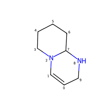 C1=CN2CCCCC2NC1